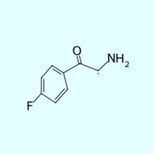 N[CH]C(=O)c1ccc(F)cc1